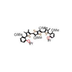 COc1cccc(OC(C)C)c1-c1sc(-c2sc3c(OC)c(-c4sc(-c5c(OC)cccc5OC(C)C)c(C)c4C)sc3c2OC)c(C)c1C